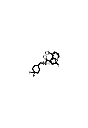 O=C(NCC1CCC(F)(F)CC1)c1cc(I)n2cccc(Cl)c12